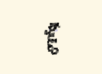 C/N=C(\C=C/N)C(=O)NC[C@@H](O)CN1CCc2ccccc2C1